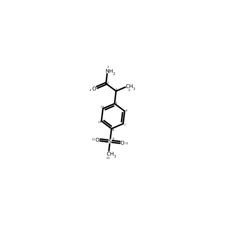 CC(C(N)=O)c1ccc(S(C)(=O)=O)cc1